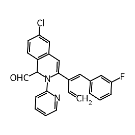 C=CC(=Cc1cccc(F)c1)C1=Cc2cc(Cl)ccc2C(C=O)N1c1ccccn1